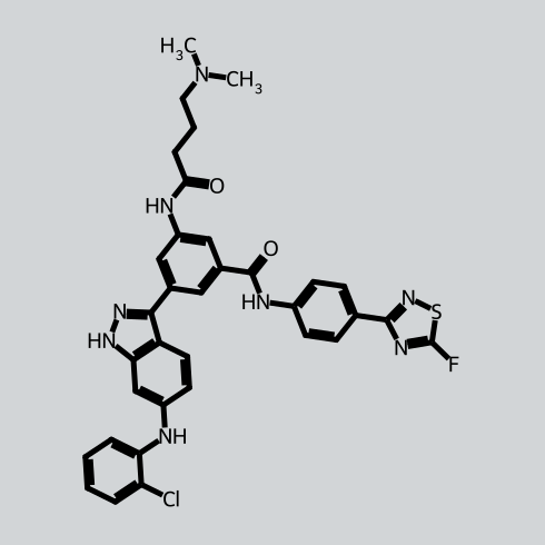 CN(C)CCCC(=O)Nc1cc(C(=O)Nc2ccc(-c3nsc(F)n3)cc2)cc(-c2n[nH]c3cc(Nc4ccccc4Cl)ccc23)c1